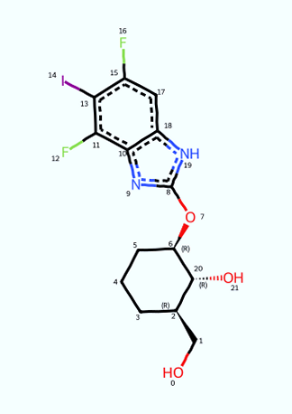 OC[C@H]1CCC[C@@H](Oc2nc3c(F)c(I)c(F)cc3[nH]2)[C@@H]1O